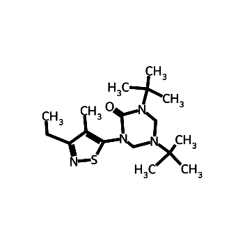 CCc1nsc(N2CN(C(C)(C)C)CN(C(C)(C)C)C2=O)c1C